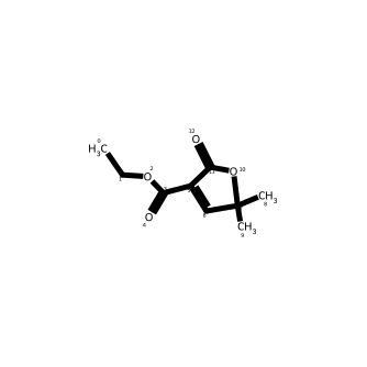 CCOC(=O)C1=CC(C)(C)OC1=O